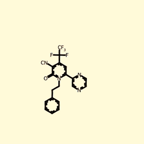 [C-]#[N+]c1c(C(F)(F)C(F)(F)F)cc(-c2cnccn2)n(CCc2ccccc2)c1=O